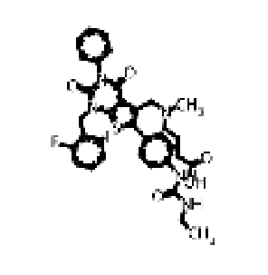 CCNC(=O)Nc1ccc(-c2sc3c(c2CN(C)CCCC(=O)O)c(=O)n(-c2ccccc2)c(=O)n3Cc2c(F)cccc2F)cc1